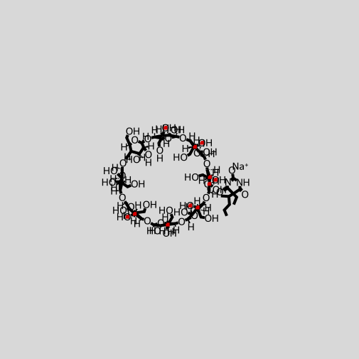 CCCC(C)C1(CC)C(=O)N=C([O-])NC1=O.OC[C@H]1O[C@@H]2O[C@H]3[C@H](O)[C@@H](O)[C@@H](O[C@H]4[C@H](O)[C@@H](O)[C@@H](O[C@H]5[C@H](O)[C@@H](O)[C@@H](O[C@H]6[C@H](O)[C@@H](O)[C@@H](O[C@H]7[C@H](O)[C@@H](O)[C@@H](O[C@H]8[C@H](O)[C@@H](O)[C@@H](O[C@H]9[C@H](O)[C@@H](O)[C@@H](O[C@H]1[C@H](O)[C@H]2O)O[C@@H]9CO)O[C@@H]8CO)O[C@@H]7CO)O[C@@H]6CO)O[C@@H]5CO)O[C@@H]4CO)O[C@@H]3CO.[Na+]